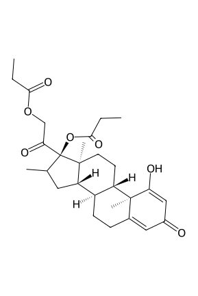 CCC(=O)OCC(=O)[C@@]1(OC(=O)CC)C(C)C[C@H]2[C@@H]3CCC4=CC(=O)C=C(O)[C@]4(C)[C@H]3CC[C@@]21C